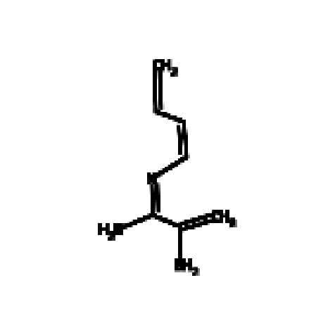 BC(=C)/C(B)=N\C=C/C=C